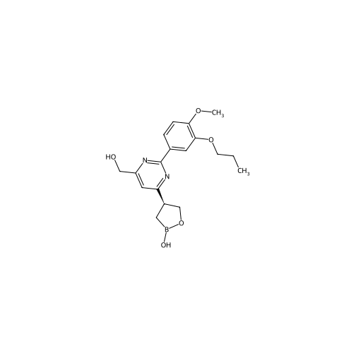 CCCOc1cc(-c2nc(CO)cc([C@H]3COB(O)C3)n2)ccc1OC